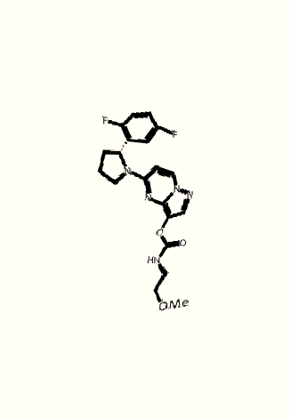 COCCNC(=O)Oc1cnn2ccc(N3CCC[C@@H]3c3cc(F)ccc3F)nc12